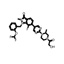 CC1CN(C(=O)CO)CCN1c1ncc(-c2ccc3c(=O)n(C)n(Cc4ccccc4OC(F)F)c3c2F)cn1